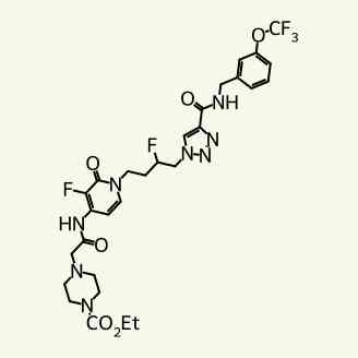 CCOC(=O)N1CCN(CC(=O)Nc2ccn(CCC(F)Cn3cc(C(=O)NCc4cccc(OC(F)(F)F)c4)nn3)c(=O)c2F)CC1